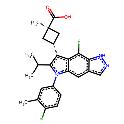 Cc1cc(-n2c(C(C)C)c([C@H]3C[C@](C)(C(=O)O)C3)c3c(F)c4[nH]ncc4cc32)ccc1F